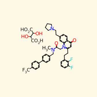 CN(Cc1ccc(-c2ccc(C(F)(F)F)cc2)cc1)C(=O)Cn1c(CCc2cccc(F)c2F)cc(=O)c2ccc(CCN3CCCC3)cc21.O=C(O)C(O)C(O)C(=O)O